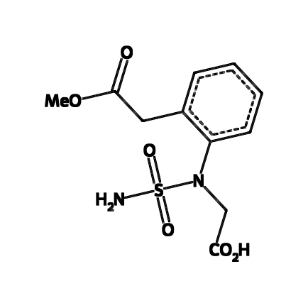 COC(=O)Cc1ccccc1N(CC(=O)O)S(N)(=O)=O